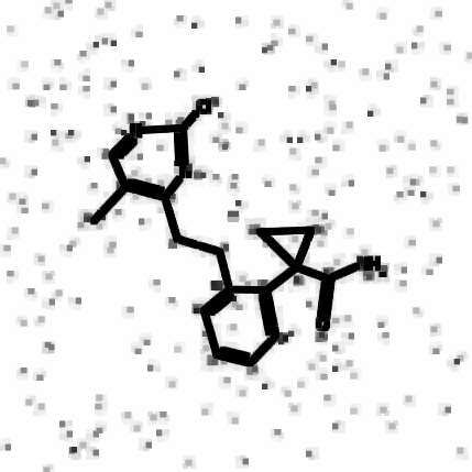 Cc1cnc(Cl)nc1CCc1ccccc1C1(C(N)=O)CC1